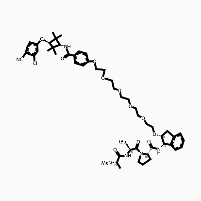 CN[C@@H](C)C(=O)N[C@H](C(=O)N1CCC[C@H]1C(=O)N[C@H]1c2ccccc2C[C@H]1OCCOCCOCCOCCOCCOc1ccc(C(=O)N[C@H]2C(C)(C)[C@H](Oc3ccc(C#N)c(Cl)c3)C2(C)C)cc1)C(C)(C)C